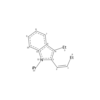 CC/C=C\c1c(CC)c2ccccc2n1C(C)C